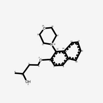 CC(O)CCOc1ccc2ccccc2c1N1CCOCC1